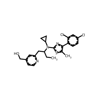 CCC(Cc1cc(CO)ccn1)N(c1nc(-c2ccc(Cl)cc2Cl)c(C)s1)C1CC1